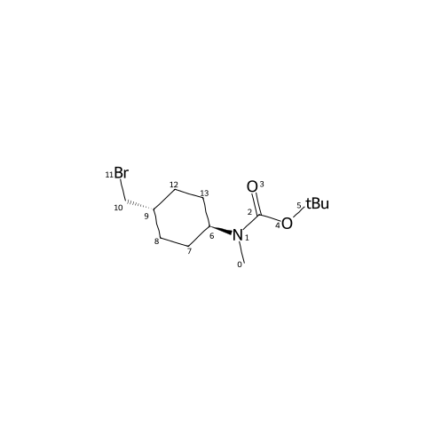 CN(C(=O)OC(C)(C)C)[C@H]1CC[C@H](CBr)CC1